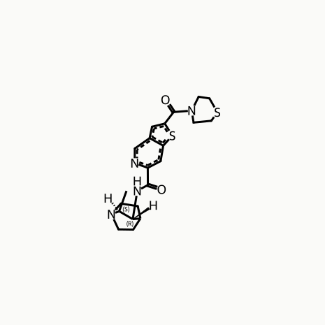 C[C@H]1[C@H](NC(=O)c2cc3sc(C(=O)N4CCSCC4)cc3cn2)C2CCN1CC2